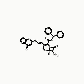 N[C@@H]1C(=O)N2C(C(=O)OC(c3ccccc3)c3ccccc3)=C(C=CSc3cc(=O)c4sccc4s3)CS[C@@H]12